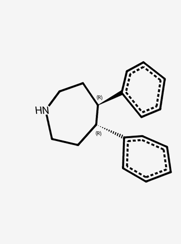 c1ccc([C@@H]2CCNCC[C@H]2c2ccccc2)cc1